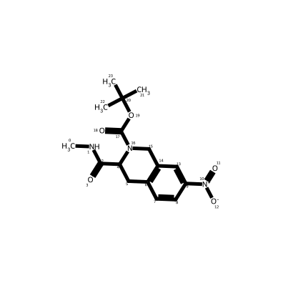 CNC(=O)C1Cc2ccc([N+](=O)[O-])cc2CN1C(=O)OC(C)(C)C